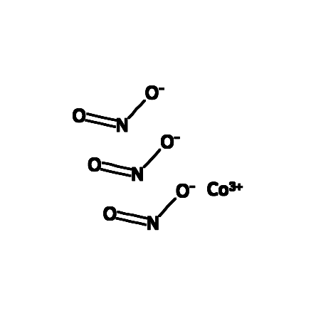 O=N[O-].O=N[O-].O=N[O-].[Co+3]